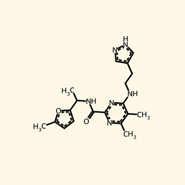 Cc1ccc(C(C)NC(=O)c2nc(C)c(C)c(NCCc3cn[nH]c3)n2)o1